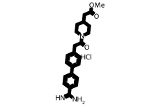 COC(=O)CC1CCN(C(=O)Cc2ccc(-c3ccc(C(=N)N)cc3)cc2)CC1.Cl